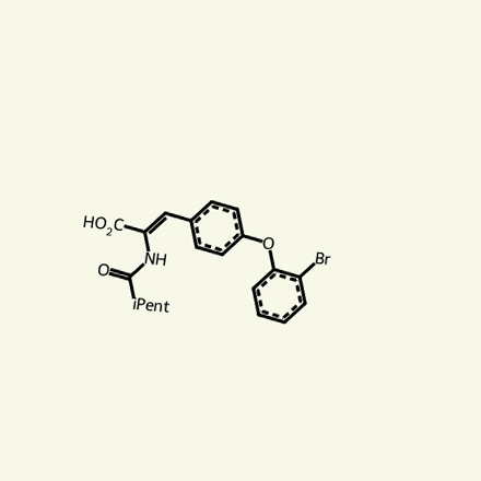 CCCC(C)C(=O)N/C(=C\c1ccc(Oc2ccccc2Br)cc1)C(=O)O